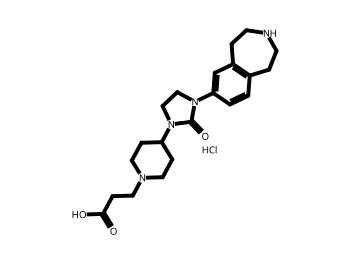 Cl.O=C(O)CCN1CCC(N2CCN(c3ccc4c(c3)CCNCC4)C2=O)CC1